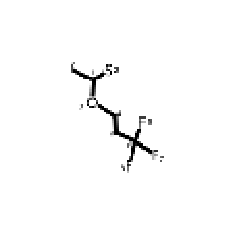 CC([S])OCCC(F)(F)F